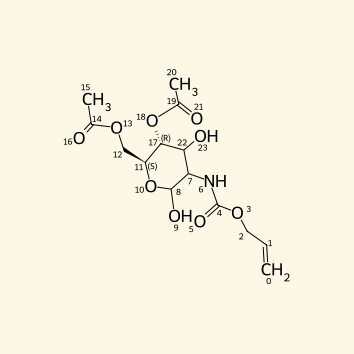 C=CCOC(=O)NC1C(O)O[C@@H](COC(C)=O)[C@H](OC(C)=O)C1O